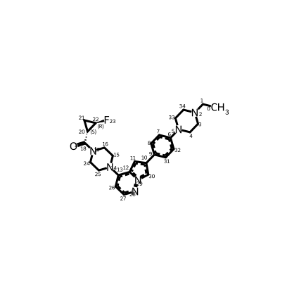 CCN1CCN(c2ccc(-c3cc4c(N5CCN(C(=O)[C@@H]6C[C@H]6F)CC5)ccnn4c3)cc2)CC1